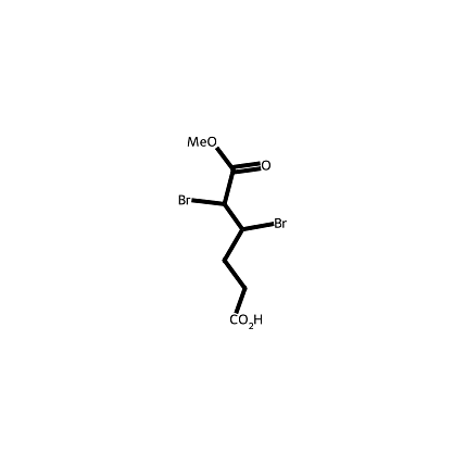 COC(=O)C(Br)C(Br)CCC(=O)O